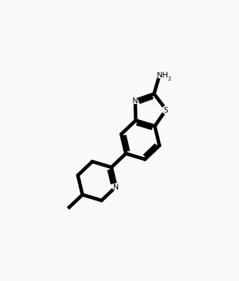 CC1CCC(c2ccc3sc(N)nc3c2)=NC1